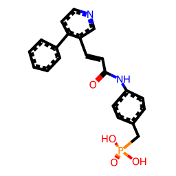 O=C(/C=C/c1cnccc1-c1ccccc1)Nc1ccc(CP(=O)(O)O)cc1